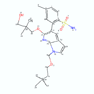 Cc1ccc(S(N)(=O)=O)c(-c2cc3ccn(COCC[Si](C)(C)C)c3nc2OCC(C)(C#N)CO)c1